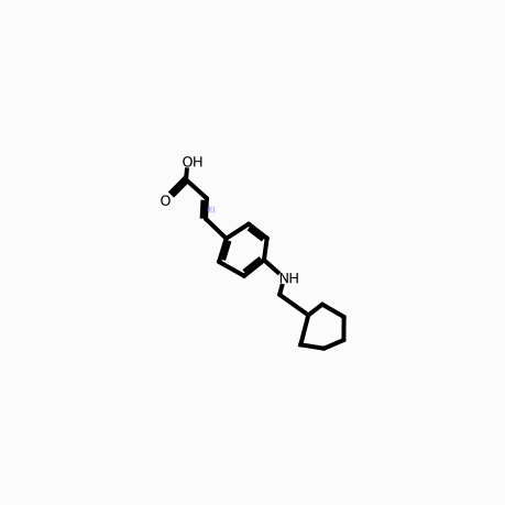 O=C(O)/C=C/c1ccc(NCC2CCCCC2)cc1